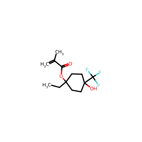 C=C(C)C(=O)OC1(CC)CCC(O)(C(F)(F)F)CC1